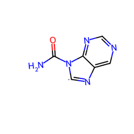 NC(=O)n1[c]nc2cncnc21